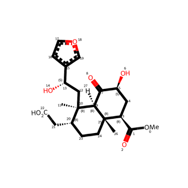 COC(=O)[C@@H]1C[C@H](O)C(=O)[C@@H]2[C@](C)(C[C@H](O)c3ccoc3)[C@@H](CC(=O)O)CC[C@]21C